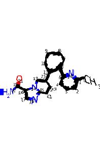 Cc1cccc(-c2ccccc2C2=CN3C(=NCC3C(N)=O)C=C2)n1